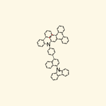 c1ccc(-c2ccccc2N(c2ccc(-c3ccc(-n4c5ccccc5c5ccccc54)c4ccccc34)cc2)c2ccc3c4ccccc4c4ccccc4c3c2)cc1